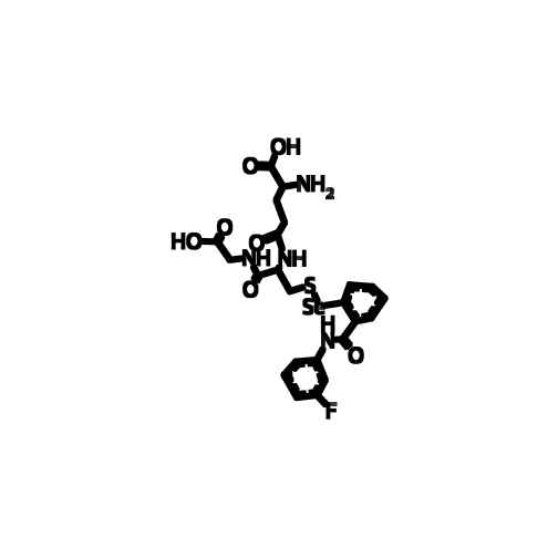 NC(CCC(=O)NC(CS[Se]c1ccccc1C(=O)Nc1cccc(F)c1)C(=O)NCC(=O)O)C(=O)O